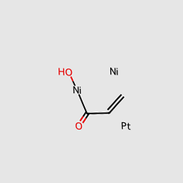 C=C[C](=O)[Ni][OH].[Ni].[Pt]